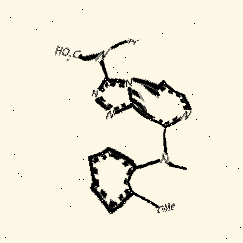 COc1ccccc1N(C)c1nccn2c(N(C(=O)O)C(C)C)nnc12